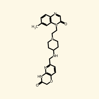 Cc1ccc2ncc(=O)n(CCN3CCC(NCc4ccc5c(n4)NC(=O)CO5)CC3)c2c1